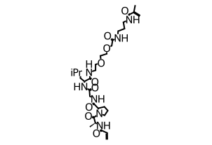 C=CC(=O)N[C@@H](C)C(=O)N1CCCC1C(=O)NCC(=O)NC(CC(C)C)C(=O)NCCOCCOCC(=O)NCCCNC(=O)C(=C)C